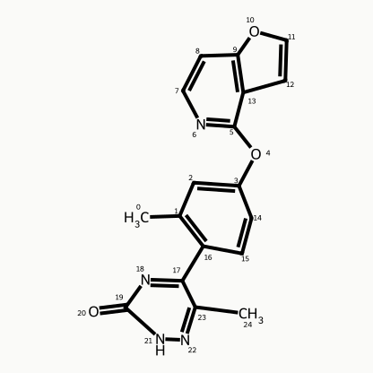 Cc1cc(Oc2nccc3occc23)ccc1-c1nc(=O)[nH]nc1C